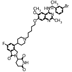 COc1cc2c(N[C@H](C)c3cccc(Br)c3)nc(C)nc2cc1OCCCCCN1CCC(c2cc(F)cc3c2CN(C2CCC(=O)NC2=O)C3=O)CC1